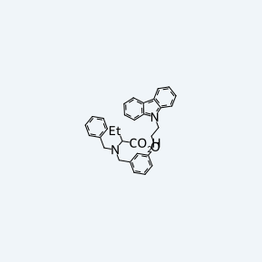 CCC(C(=O)O)N(Cc1ccccc1)Cc1cccc(OCCn2c3ccccc3c3ccccc32)c1